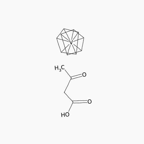 CC(=O)CC(=O)O.[CH]12[CH]3[CH]4[CH]5[CH]1[V]23451678[CH]2[CH]1[CH]6[CH]7[CH]28